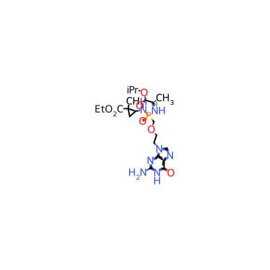 CCOC(=O)C1(C)CC1NP(=O)(COCCn1cnc2c(=O)[nH]c(N)nc21)N[C@@H](C)C(=O)OC(C)C